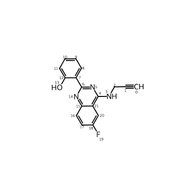 C#CCNc1nc(-c2ccccc2O)nc2ccc(F)cc12